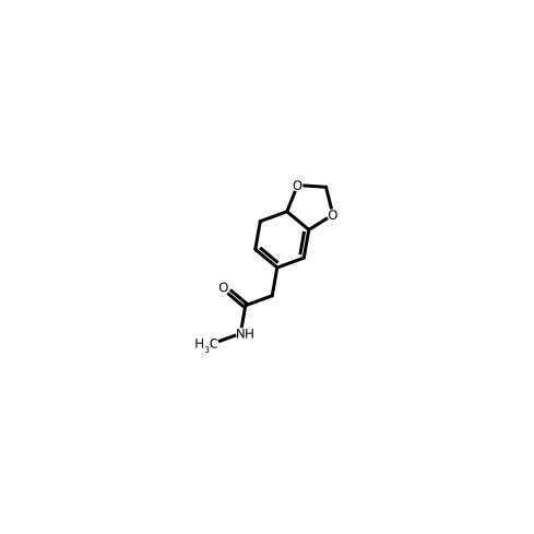 CNC(=O)CC1=CCC2OCOC2=C1